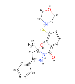 O=C(c1cccc(SN2CCOCC2)c1)N1N=C(c2ccccc2)CC1(O)C(F)(F)F